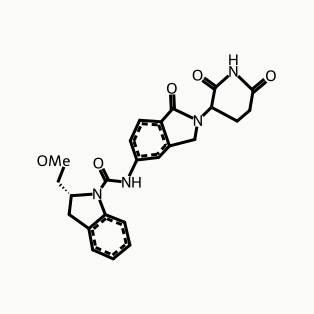 COC[C@H]1Cc2ccccc2N1C(=O)Nc1ccc2c(c1)CN(C1CCC(=O)NC1=O)C2=O